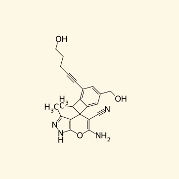 Cc1n[nH]c2c1C1(C(C#N)=C(N)O2)c2cc(CO)cc(C#CCCCO)c2C1C